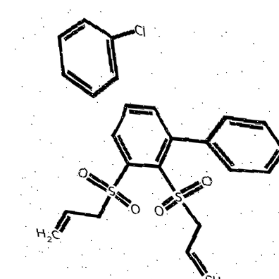 C=CCS(=O)(=O)c1cccc(-c2ccccc2)c1S(=O)(=O)CC=C.Clc1ccccc1